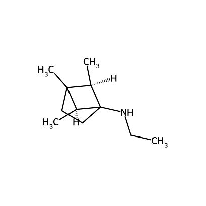 CCNC12CCC(C)([C@H]1C)[C@@H]2C